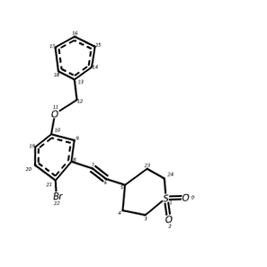 O=S1(=O)CCC(C#Cc2cc(OCc3ccccc3)ccc2Br)CC1